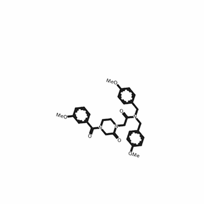 COc1ccc(CN(Cc2ccc(OC)cc2)C(=O)CN2CCN(C(=O)c3cccc(OC)c3)CC2=O)cc1